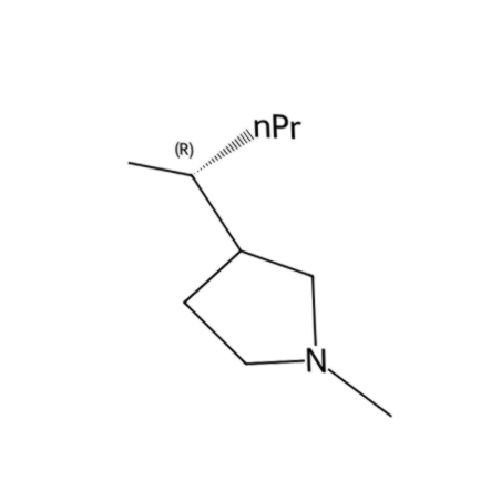 CCC[C@@H](C)C1CCN(C)C1